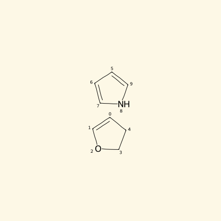 C1=COCC1.c1cc[nH]c1